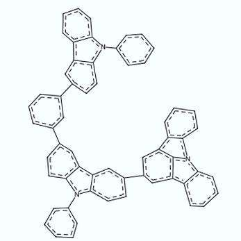 c1ccc(-n2c3ccccc3c3cc(-c4cccc(-c5ccc6c(c5)c5cc(-c7cc8c9ccccc9n9c%10ccccc%10c(c7)c89)ccc5n6-c5ccccc5)c4)ccc32)cc1